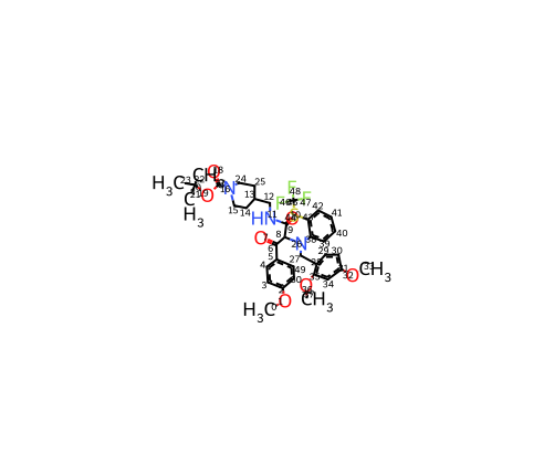 COc1ccc(C(=O)C(C(=O)NCC2CCN(C(=O)OC(C)(C)C)CC2)N(Cc2ccc(OC)cc2OC)c2ccccc2SC(F)(F)F)cc1